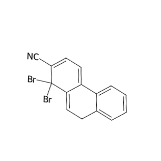 N#CC1=CC=C2C(=CCc3ccccc32)C1(Br)Br